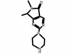 CC1c2nc(N3CCNCC3)ncc2C(=O)N1C